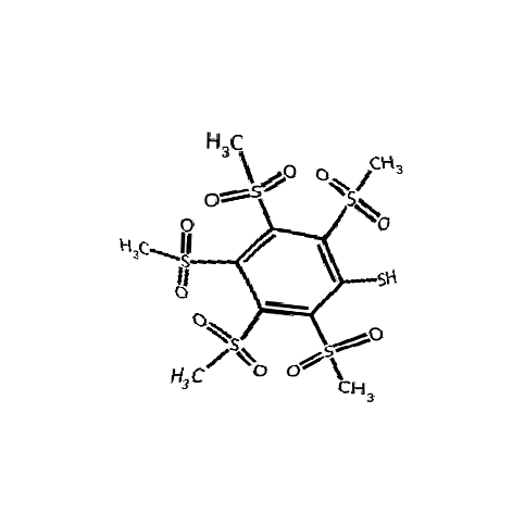 CS(=O)(=O)c1c(S)c(S(C)(=O)=O)c(S(C)(=O)=O)c(S(C)(=O)=O)c1S(C)(=O)=O